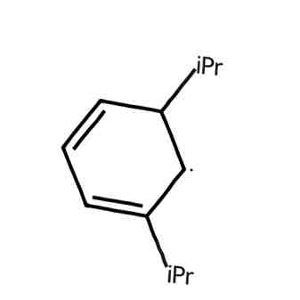 CC(C)C1=CC=CC(C(C)C)[CH]1